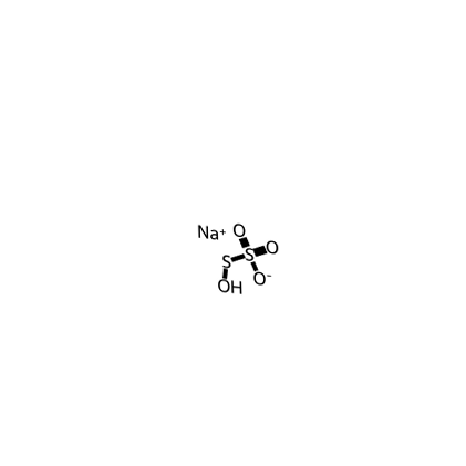 O=S(=O)([O-])SO.[Na+]